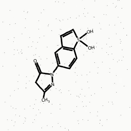 CC1=NN(c2ccc3c(c2)C=CS3(O)O)C(=O)C1